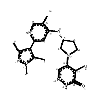 Cc1nn(C)c(C)c1-c1cc(O[C@@H]2CCN(c3cn[nH]c(=O)c3Cl)C2)c(F)cn1